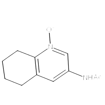 CC(=O)Nc1cc2c([n+]([O-])c1)CCCC2